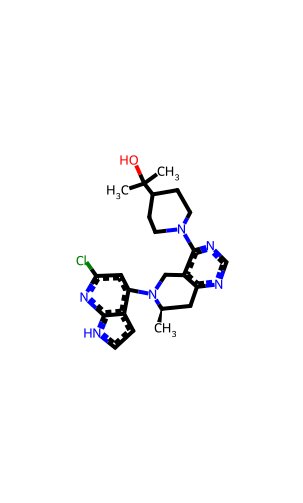 C[C@@H]1Cc2ncnc(N3CCC(C(C)(C)O)CC3)c2CN1c1cc(Cl)nc2[nH]ccc12